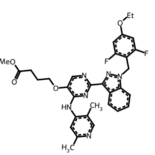 CCOc1cc(F)c(Cn2nc(-c3ncc(OCCCC(=O)OC)c(Nc4cc(C)ncc4C)n3)c3ccccc32)c(F)c1